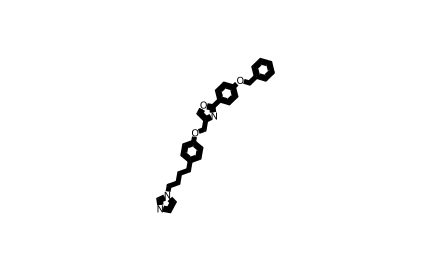 c1ccc(COc2ccc(-c3nc(COc4ccc(CCCCn5ccnc5)cc4)co3)cc2)cc1